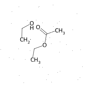 CCOC(C)=O.[CH2]CO